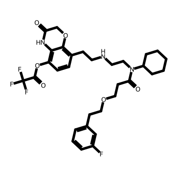 O=C1COc2c(CCNCCN(C(=O)CCOCCc3cccc(F)c3)C3CCCCC3)ccc(OC(=O)C(F)(F)F)c2N1